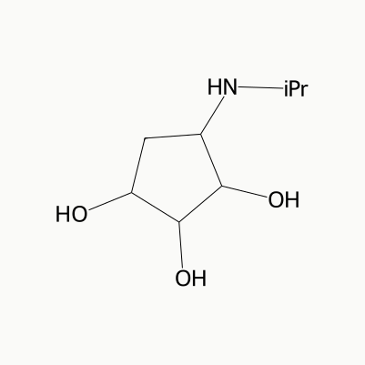 CC(C)NC1CC(O)C(O)C1O